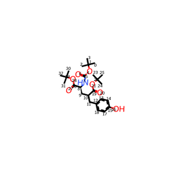 CC(C)(C)OC(=O)N[C@@H](CC(Cc1ccc(O)cc1)C(=O)OC(C)(C)C)C(=O)OC(C)(C)C